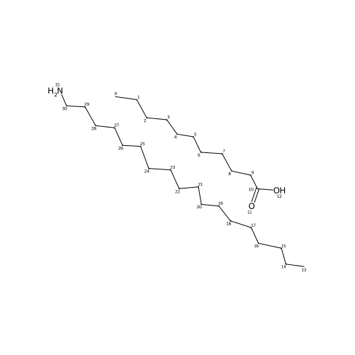 CCCCCCCCCCC(=O)O.CCCCCCCCCCCCCCCCCCN